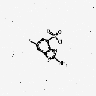 Nc1nc2c(S(=O)(=O)Cl)cc(F)cc2s1